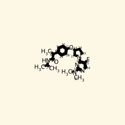 CC(C)NC(=O)C(C)c1ccc(OC2CCN(c3nc(N(C)C)ncc3F)C2)cc1